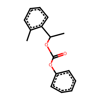 Cc1ccccc1C(C)OC(=O)Oc1ccccc1